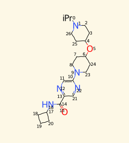 CC(C)N1CCC(OC2CCN(c3cnc(C(=O)NC4CCC4)cn3)CC2)CC1